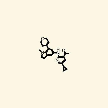 CC(=O)c1cc(C2CC2)cnc1Nc1cc(C2=CCOCC2)c2c(ccn2C)c1